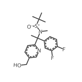 CN([S+]([O-])C(C)(C)C)C(C)(c1ccc(F)c(F)c1)c1ccc(CO)cn1